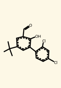 CC(C)(C)c1cc(C=O)c(O)c(-c2ccc(Cl)cc2Cl)c1